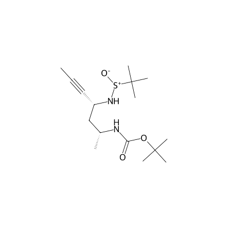 CC#C[C@@H](C[C@@H](C)NC(=O)OC(C)(C)C)N[S+]([O-])C(C)(C)C